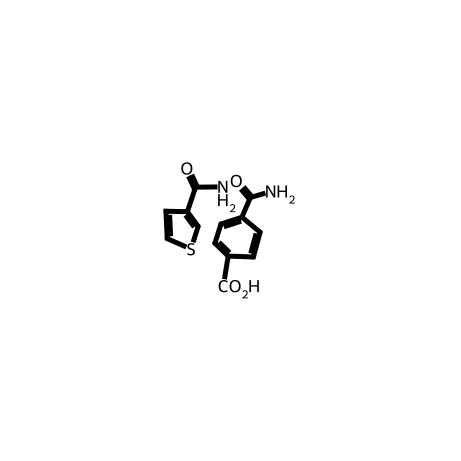 NC(=O)c1ccc(C(=O)O)cc1.NC(=O)c1ccsc1